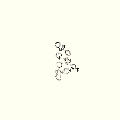 Fc1ccc(-c2nc(-c3cccc(-c4nc5ccccc5n4-c4ccncc4)c3)nc(-c3cccc(-c4nc5ccccc5n4-c4ccncc4)c3)n2)cc1